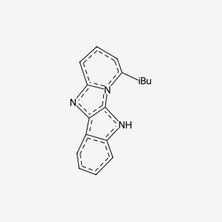 CCC(C)c1cccc2nc3c4ccccc4[nH]c3n12